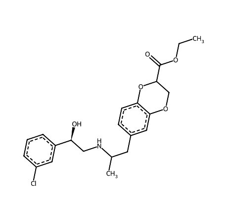 CCOC(=O)C1COc2cc(CC(C)NC[C@H](O)c3cccc(Cl)c3)ccc2O1